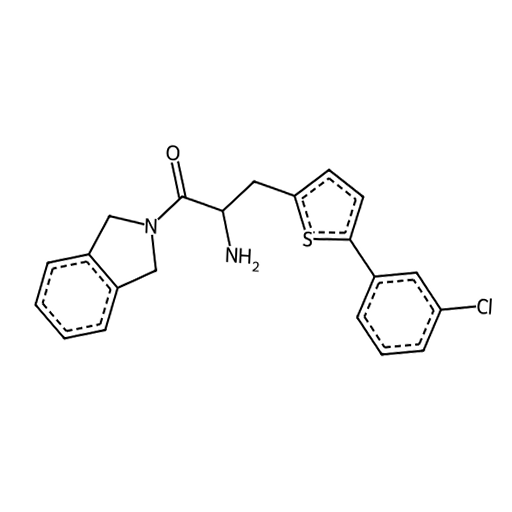 NC(Cc1ccc(-c2cccc(Cl)c2)s1)C(=O)N1Cc2ccccc2C1